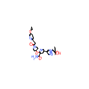 CC(C)(O)Cn1cc(-c2cnc(OC3CCN(C(=O)Cc4ccc(OC5CC5)cn4)CC3)c(C(N)=O)c2)cn1